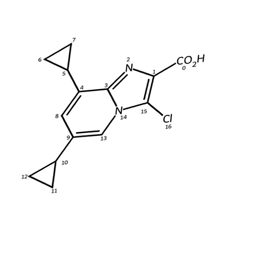 O=C(O)c1nc2c(C3CC3)cc(C3CC3)cn2c1Cl